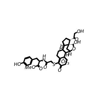 COC(=O)C(Cc1ccc(O)cc1)NC(=O)CSC1=C2CC[C@@H]3[C@H]([C@@H]4C[C@]5(C(O)O4)[C@@H](C(=O)CO)CC[C@@H]35)[C@@]2(C)CCC1=O